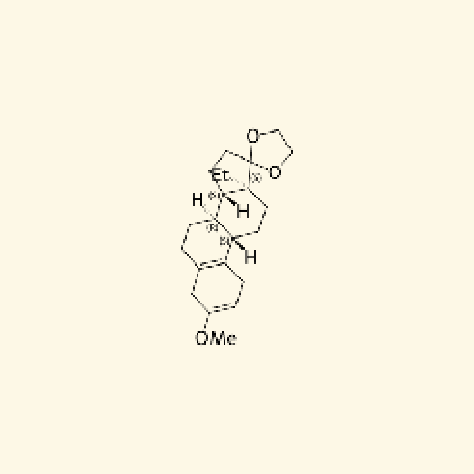 CC[C@]12CC[C@@H]3C4=C(CC[C@H]3[C@@H]1CCC21OCCO1)CC(OC)=CC4